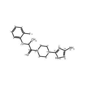 CC(Oc1ccccc1F)C(=O)N1CCN(c2nc(N)n[nH]2)CC1